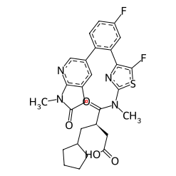 CN(C(=O)[C@@H](CC(=O)O)CC1CCCC1)c1nc(-c2cc(F)ccc2-c2cnc3c(c2)CC(=O)N3C)c(F)s1